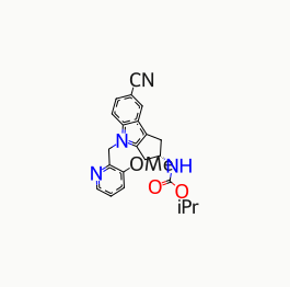 COc1cccnc1Cn1c2c(c3cc(C#N)ccc31)C[C@H](NC(=O)OC(C)C)C2